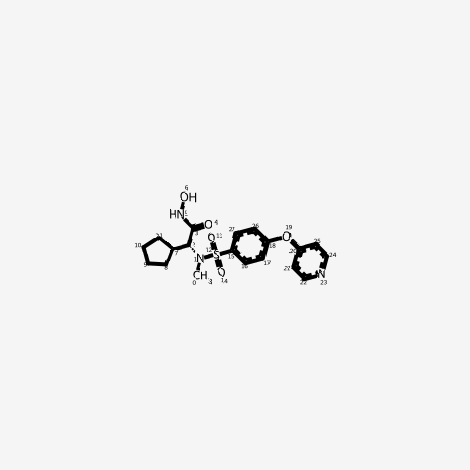 CN([C@@H](C(=O)NO)C1CCCC1)S(=O)(=O)c1ccc(Oc2ccncc2)cc1